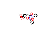 CCOC1(C)OCc2cc(CC3C(=O)N(Cc4ccccc4)C(=O)N(c4ccccc4)C3=O)ccc21